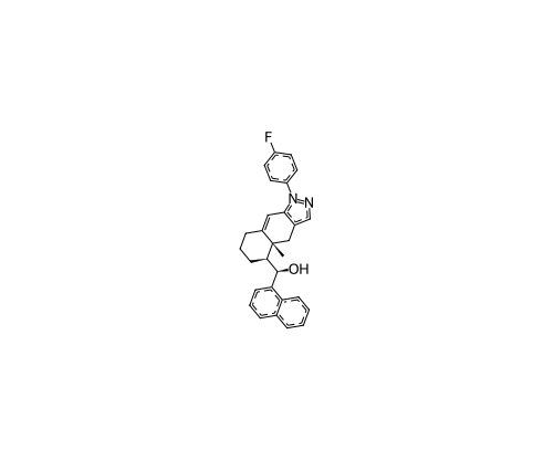 C[C@]12Cc3cnn(-c4ccc(F)cc4)c3C=C1CCC[C@@H]2[C@@H](O)c1cccc2ccccc12